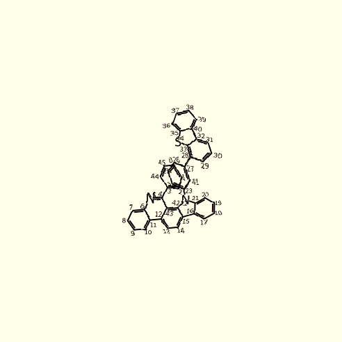 c1ccc(-c2nc3ccccc3c3ccc4c5ccccc5n(-c5cccc(-c6cccc7c6sc6ccccc67)c5)c4c23)cc1